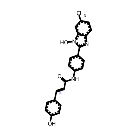 Cc1ccc2nc(-c3ccc(NC(=O)/C=C/c4ccc(O)cc4)cc3)n(O)c2c1